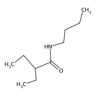 CCCCNC(=O)C(CC)CC